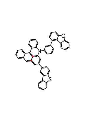 c1cc(-c2ccc3sc4ccccc4c3c2)cc(N(c2cccc(-c3cccc4oc5ccccc5c34)c2)c2ccccc2-c2cccc3ccccc23)c1